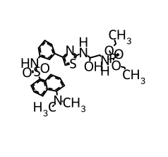 CCOP(=O)(NCC(O)Nc1nc(-c2cccc(NS(=O)(=O)c3cccc4c(N(C)C)cccc34)c2)cs1)OCC